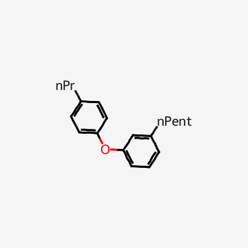 CCCCCc1cccc(Oc2ccc(CCC)cc2)c1